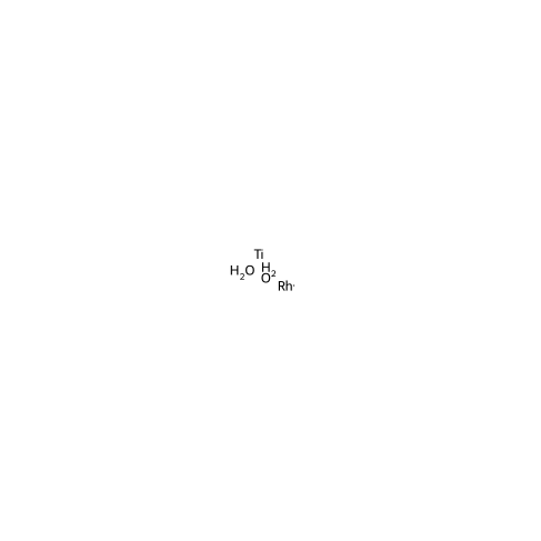 O.O.[Rh].[Ti]